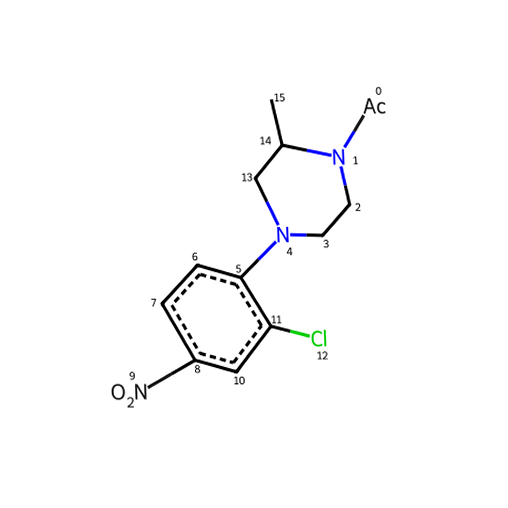 CC(=O)N1CCN(c2ccc([N+](=O)[O-])cc2Cl)CC1C